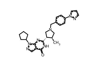 C[C@@H]1CN(Cc2ccc(-n3cccn3)cc2)C[C@H]1c1nc2c(cnn2C2CCCC2)c(=O)[nH]1